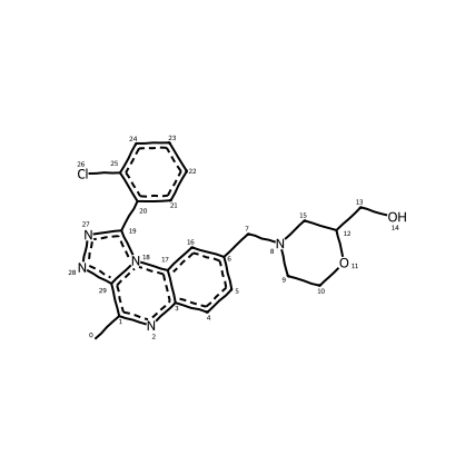 Cc1nc2ccc(CN3CCOC(CO)C3)cc2n2c(-c3ccccc3Cl)nnc12